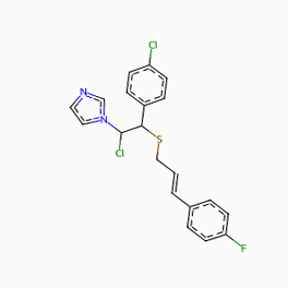 Fc1ccc(C=CCSC(c2ccc(Cl)cc2)C(Cl)n2ccnc2)cc1